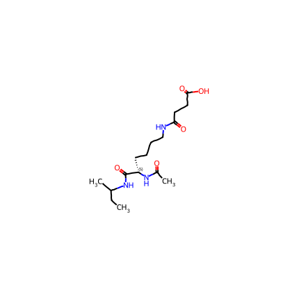 CCC(C)NC(=O)[C@H](CCCCNC(=O)CCC(=O)O)NC(C)=O